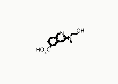 CN(CCO)c1cc2cc(C(=O)O)ccc2cn1